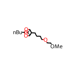 CCCCC12OCC(CCCCOCCOC)(CO1)CO2